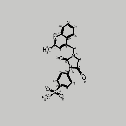 Cc1cc(CN2CC(=O)N(c3ccc(S(=O)(=O)C(F)(F)F)cc3)C2=O)c2ccccc2n1